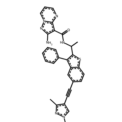 Cc1nn(C)cc1C#Cc1ccc2sc(C(C)NC(=O)c3c(N)nn4cccnc34)c(-c3ccccc3)c2c1